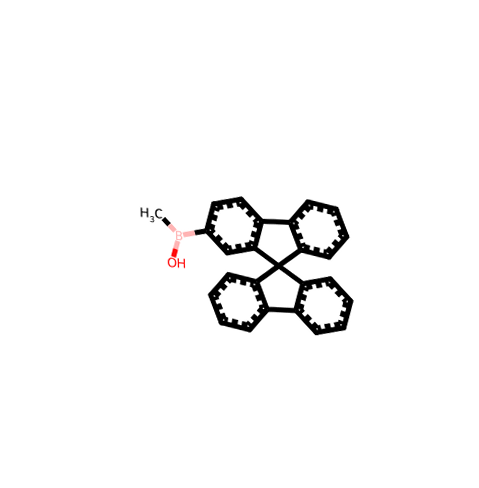 CB(O)c1ccc2c(c1)C1(c3ccccc3-c3ccccc31)c1ccccc1-2